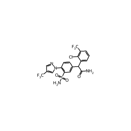 NC(=O)C(c1ccc(-n2cc(C(F)(F)F)cn2)c(S(N)(=O)=O)c1)c1cccc(C(F)(F)F)c1Cl